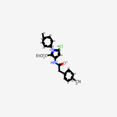 CCOC(=O)c1c(NC(=O)Cc2ccc(C#N)cc2)cc(Cl)n1-c1ccc(C)cc1